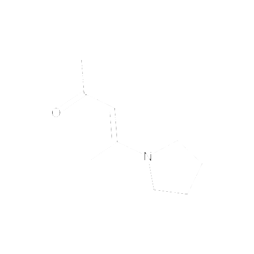 CC(=O)/C=C(\C)N1CCCC1